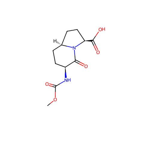 COC(=O)N[C@H]1CC[C@H]2CC[C@@H](C(=O)O)N2C1=O